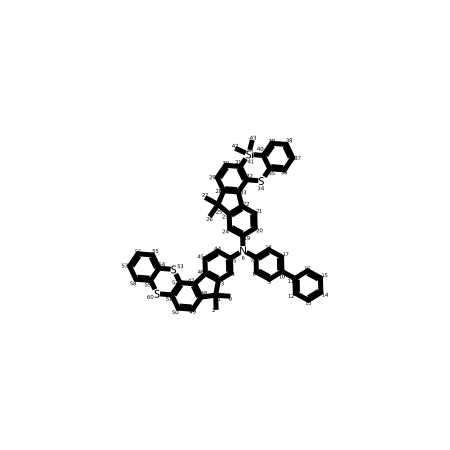 CC1(C)c2cc(N(c3ccc(-c4ccccc4)cc3)c3ccc4c(c3)C(C)(C)c3ccc5c(c3-4)Sc3ccccc3[Si]5(C)C)ccc2-c2c1ccc1c2Sc2ccccc2S1